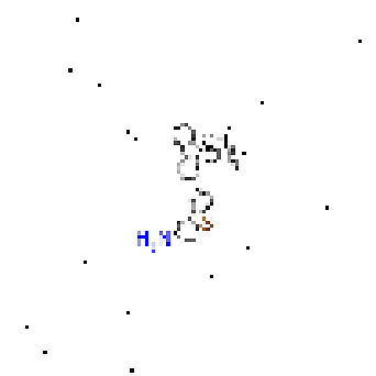 CC1(C)c2ccccc2-c2ccc(-c3ccc4sc5ccc(N)cc5c4c3)cc21